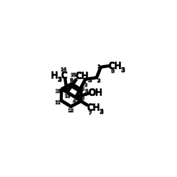 CCCCC1(O)C2(C)C=CC(CC2)C1(C)C